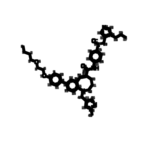 CCCCOCCOc1ccc(-c2ccc3c(c2)/C=C(/C(=O)Nc2ccc([S+]([O-])Cc4cncn4CCC)cc2)CCCN3Cc2cnn(C)c2)cc1